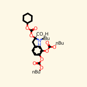 CCCCOC(=O)Oc1ccc(C[C@](NC(C)CC)(OC(=O)OC2CCCCC2)C(=O)O)cc1OC(=O)OCCCC